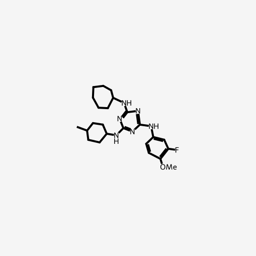 COc1ccc(Nc2nc(NC3CCCCCC3)nc(NC3CCC(C)CC3)n2)cc1F